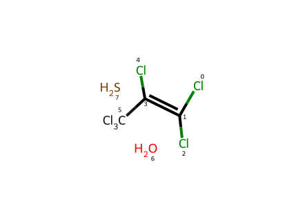 ClC(Cl)=C(Cl)C(Cl)(Cl)Cl.O.S